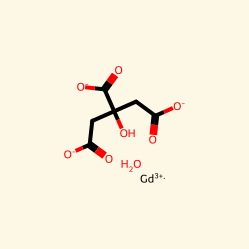 O.O=C([O-])CC(O)(CC(=O)[O-])C(=O)[O-].[Gd+3]